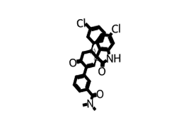 CN(C)C(=O)c1cccc(C2=C[C@@]3(C(=O)Nc4cc(Cl)ccc43)[C@H](C3C=CC=C(Cl)C3)CC2=O)c1